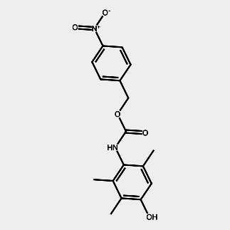 Cc1cc(O)c(C)c(C)c1NC(=O)OCc1ccc([N+](=O)[O-])cc1